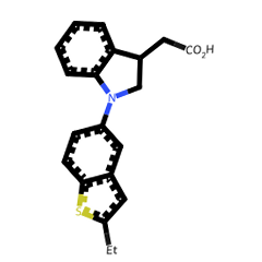 CCc1cc2cc(N3CC(CC(=O)O)c4ccccc43)ccc2s1